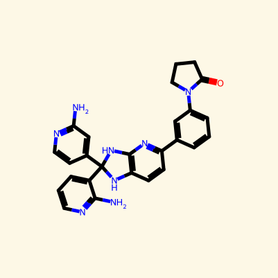 Nc1cc(C2(c3cccnc3N)Nc3ccc(-c4cccc(N5CCCC5=O)c4)nc3N2)ccn1